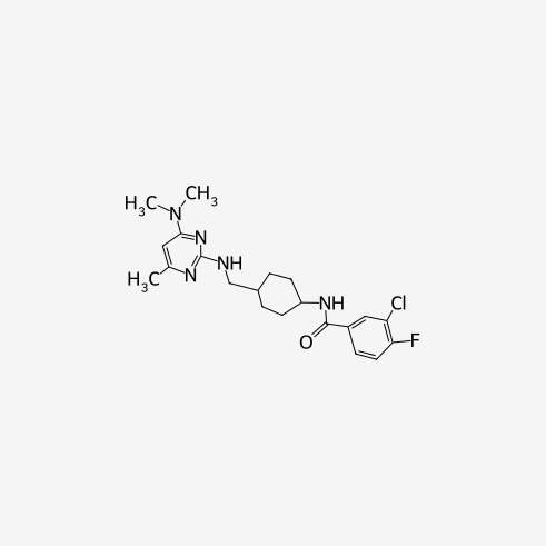 Cc1cc(N(C)C)nc(NCC2CCC(NC(=O)c3ccc(F)c(Cl)c3)CC2)n1